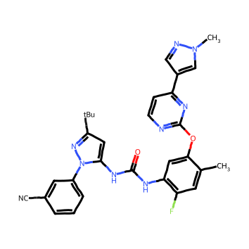 Cc1cc(F)c(NC(=O)Nc2cc(C(C)(C)C)nn2-c2cccc(C#N)c2)cc1Oc1nccc(-c2cnn(C)c2)n1